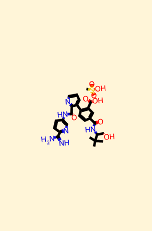 CC(C)(C)C(CO)NC(=O)c1ccc(-c2cccnc2C(=O)Nc2ccc(C(=N)N)nc2)c(C(=O)O)c1.CS(=O)(=O)O